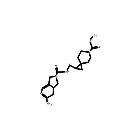 CC(C)(C)OC(=O)N1CCC2(CC1)CC2CNC(=O)N1CC2=CN=C(N)CC2C1